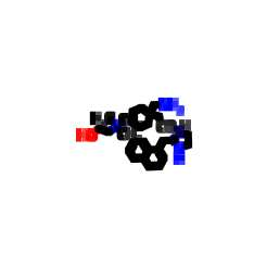 C[N+](C)(C)CCO.NCC1(CC(=O)O)CCCCC1.c1ccc2c(CC3=NCCN3)cccc2c1